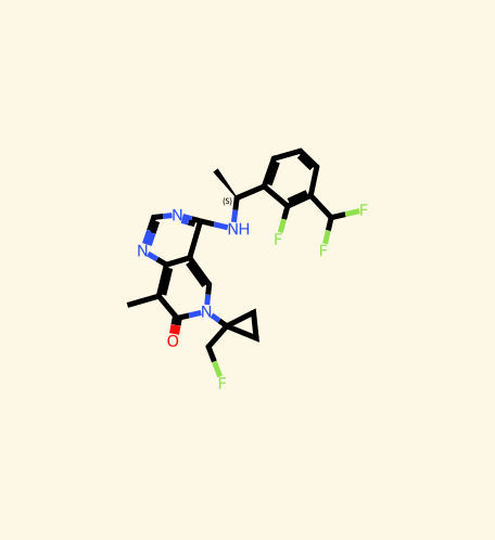 Cc1c(=O)n(C2(CF)CC2)cc2c(N[C@@H](C)c3cccc(C(F)F)c3F)ncnc12